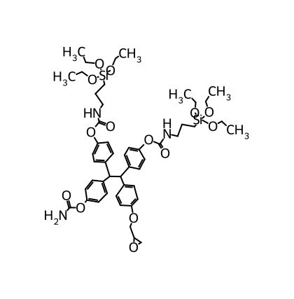 CCO[Si](CCCNC(=O)Oc1ccc(C(c2ccc(OCC3CO3)cc2)C(c2ccc(OC(N)=O)cc2)c2ccc(OC(=O)NCCC[Si](OCC)(OCC)OCC)cc2)cc1)(OCC)OCC